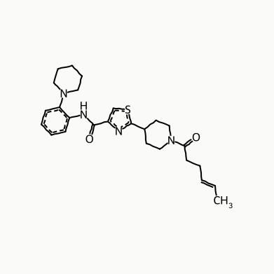 C/C=C/CCC(=O)N1CCC(c2nc(C(=O)Nc3ccccc3N3CCCCC3)cs2)CC1